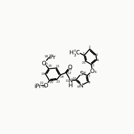 Cc1cccc(Oc2cnc(NC(=O)c3cc(OC(C)C)cc(OC(C)C)c3)s2)c1